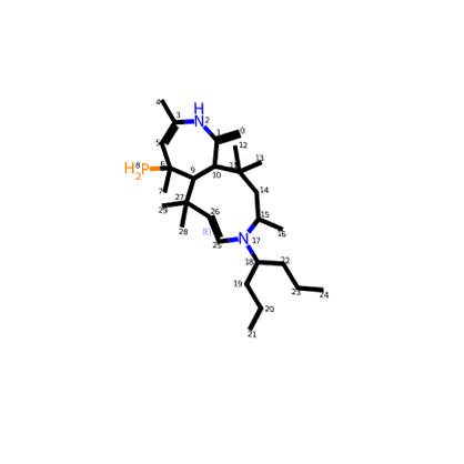 C=C1NC(C)=CC(C)(P)C2C1C(C)(C)CC(C)N(C(CCC)CCC)/C=C/C2(C)C